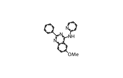 COc1ccc2nc(-c3ccccc3)nc(Nc3ccccn3)c2c1